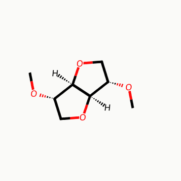 CO[C@H]1CO[C@H]2[C@@H]1OC[C@@H]2OC